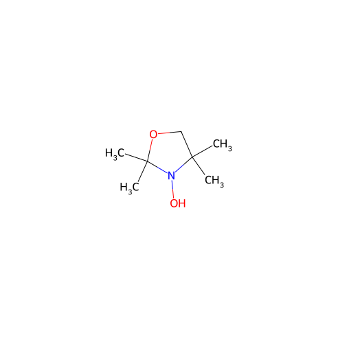 CC1(C)COC(C)(C)N1O